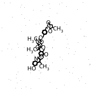 CCc1c2c(nc3ccc(O)cc13)-c1cc3c(c(=O)n1C2)COC(=O)C3(CC)OC(=O)CN(C)C(=O)OCc1ccc(CN2C(=O)CC(C)C2=O)cc1